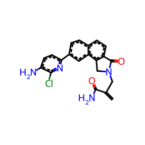 C=C(CN1Cc2c(ccc3ccc(-c4ccc(N)c(Cl)n4)cc23)C1=O)C(N)=O